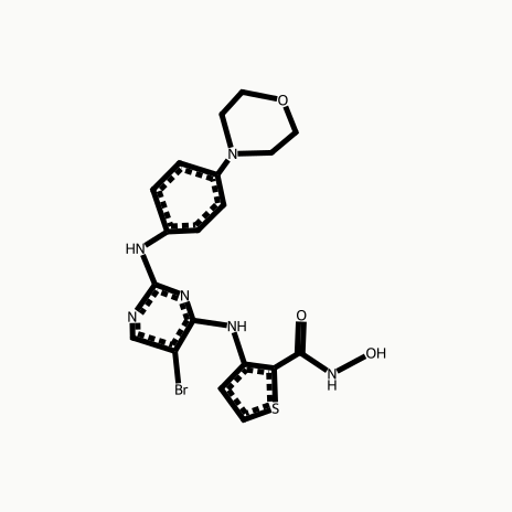 O=C(NO)c1sccc1Nc1nc(Nc2ccc(N3CCOCC3)cc2)ncc1Br